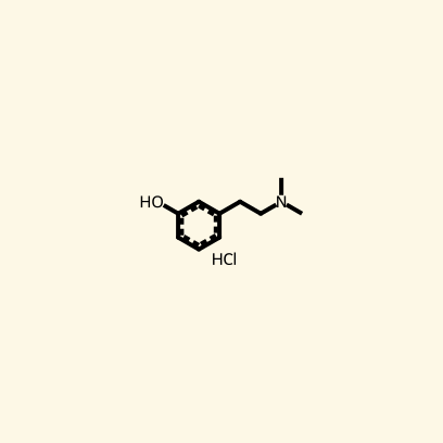 CN(C)CCc1cccc(O)c1.Cl